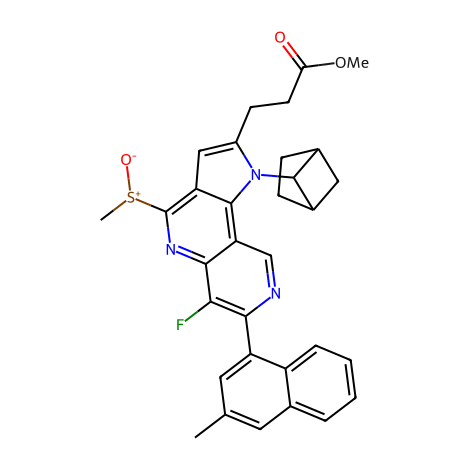 COC(=O)CCc1cc2c([S+](C)[O-])nc3c(F)c(-c4cc(C)cc5ccccc45)ncc3c2n1C1C2CCC1C2